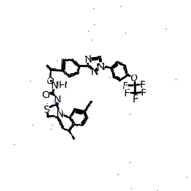 Cc1ccc2c(c1)N1C(=CC2C)CS/C1=N\C(=O)NOC(C)c1ccc(-c2ncn(-c3ccc(OC(F)(F)C(F)(F)F)cc3)n2)cc1